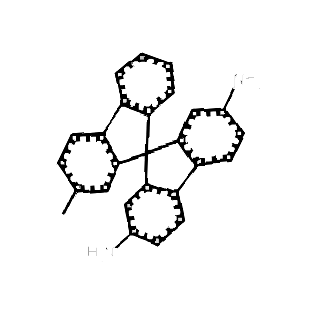 Cc1ccc2c(c1)C1(c3ccccc3-2)c2cc(N)ccc2-c2ccc(N)cc21